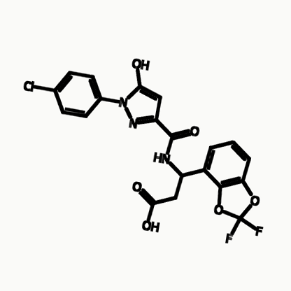 O=C(O)CC(NC(=O)c1cc(O)n(-c2ccc(Cl)cc2)n1)c1cccc2c1OC(F)(F)O2